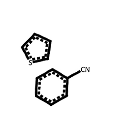 N#Cc1ccccc1.c1ccsc1